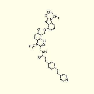 COc1nc2c(OCc3c(Cl)ccc(N(C)C(=O)CNC(=O)C=Cc4ccc(CCc5ccncc5)cc4)c3Cl)cccc2n1C